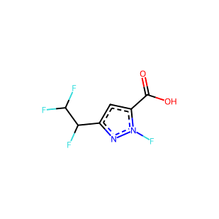 O=C(O)c1cc(C(F)C(F)F)nn1F